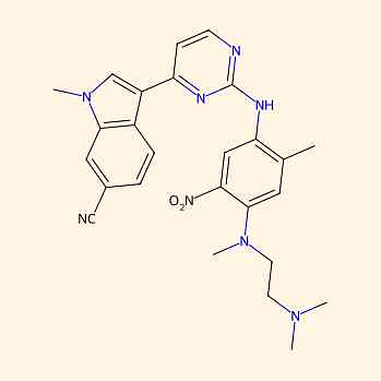 Cc1cc(N(C)CCN(C)C)c([N+](=O)[O-])cc1Nc1nccc(-c2cn(C)c3cc(C#N)ccc23)n1